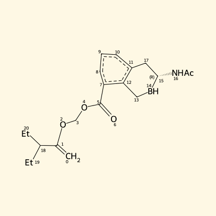 C=C(OCOC(=O)c1cccc2c1CB[C@@H](NC(C)=O)C2)C(CC)CC